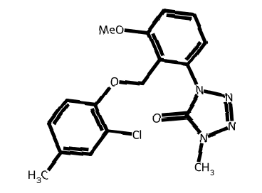 COc1cccc(-n2nnn(C)c2=O)c1COc1ccc(C)cc1Cl